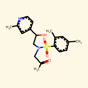 CC(=O)CN(CC(O)c1ccnc(C)c1)S(=O)(=O)c1ccc(C)cc1C